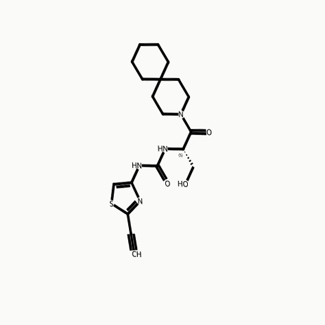 C#Cc1nc(NC(=O)N[C@@H](CO)C(=O)N2CCC3(CCCCC3)CC2)cs1